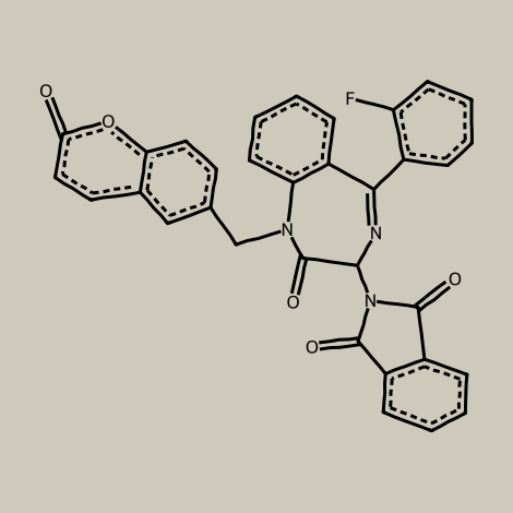 O=C1C(N2C(=O)c3ccccc3C2=O)N=C(c2ccccc2F)c2ccccc2N1Cc1ccc2oc(=O)ccc2c1